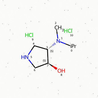 CC(C)N(C)[C@H]1CNC[C@@H]1O.Cl.Cl